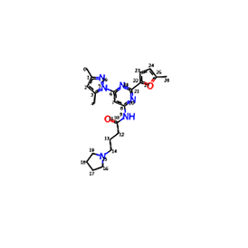 Cc1cc(C)n(-c2cc(NC(=O)CCCN3CCCC3)nc(-c3ccc(C)o3)n2)n1